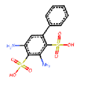 Nc1cc(-c2ccccc2)c(S(=O)(=O)O)c(N)c1S(=O)(=O)O